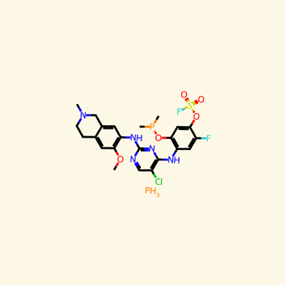 COc1cc2c(cc1Nc1ncc(Cl)c(Nc3cc(F)c(OS(=O)(=O)F)cc3OP(C)C)n1)CN(C)CC2.P